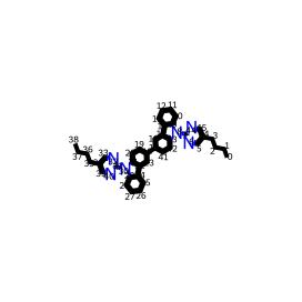 CCCCc1cnc(-n2c3ccccc3c3cc(-c4ccc5c(c4)c4ccccc4n5-c4ncc(CCCC)cn4)ccc32)nc1